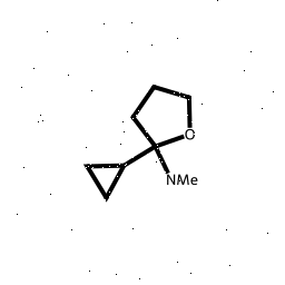 CNC1(C2CC2)CCCO1